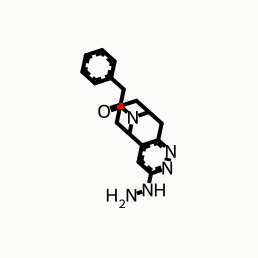 NNc1cc2c(nn1)CC1CCCC2N1C(=O)Cc1ccccc1